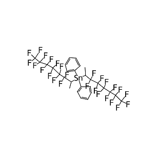 C[CH](C(F)(F)C(F)(F)C(F)(F)C(F)(F)C(F)(F)C(F)(F)F)[Sn]([c]1ccccc1)([c]1ccccc1)[CH](C)C(F)(F)C(F)(F)C(F)(F)C(F)(F)C(F)(F)C(F)(F)F